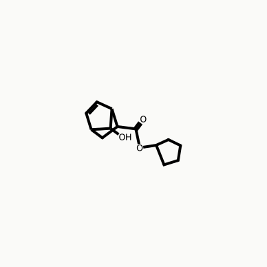 O=C(OC1CCCC1)C1CC2C=CC1C2O